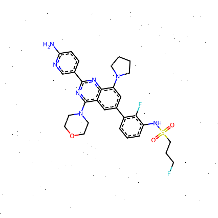 Nc1ccc(-c2nc(N3CCOCC3)c3cc(-c4cccc(NS(=O)(=O)CCCF)c4F)cc(N4CCCC4)c3n2)cn1